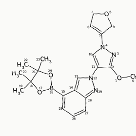 COc1nn(C2=CCOC2)cc1-n1cc2c(B3OC(C)(C)C(C)(C)O3)cccc2n1